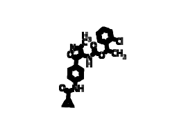 Cc1noc(-c2ccc(NC(=O)C3CC3)cc2)c1NC(=O)OC(C)c1ccccc1Cl